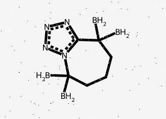 BC1(B)CCCC(B)(B)n2nnnc21